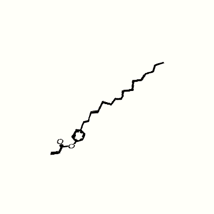 C=CC(=O)Oc1ccc(CCCCCCCCCCCCCCCC)cc1